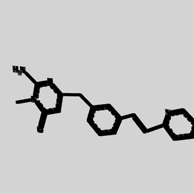 Cn1c(N)nc(Cc2cccc(C=Cc3ccccn3)c2)cc1=O